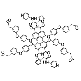 O=C(Nc1ccncc1)C(c1ccco1)N1C(=O)c2cc(Oc3ccc(Oc4cccc(CC5CO5)c4)cc3)c3c4c(Oc5ccc(Oc6cccc(CC7CO7)c6)cc5)cc5c6c(cc(Oc7ccc(Oc8cccc(CC9CO9)c8)cc7)c(c7c(Oc8ccc(Oc9cccc(CC%10CO%10)c9)cc8)cc(c2c37)C1=O)c64)C(=O)N(C(C(=O)Nc1ccncc1)c1ccco1)C5=O